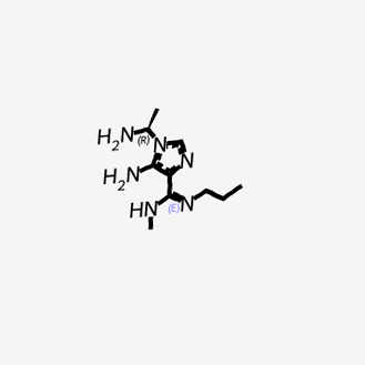 CCC/N=C(/NC)c1ncn([C@H](C)N)c1N